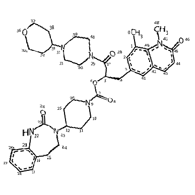 Cc1cc(C[C@@H](OC(=O)N2CCC(N3CCc4ccccc4NC3=O)CC2)C(=O)N2CCN(C3CCOCC3)CC2)cc2ccc(=O)n(C)c12